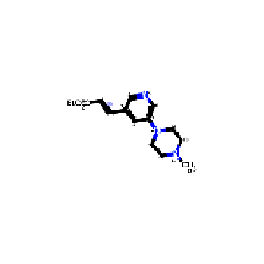 CCOC(=O)/C=C/c1cncc(N2CCN(C)CC2)c1